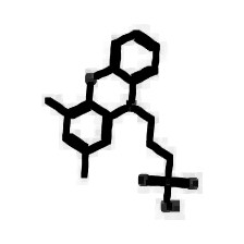 Cc1cc(C)c2c(c1)N(CCCS(=O)(=O)O)c1ccccc1O2